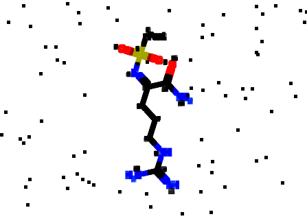 CCCCCS(=O)(=O)N=C(CCCNC(=N)N)C(N)=O